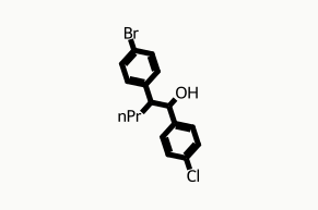 CCCC(c1ccc(Br)cc1)C(O)c1ccc(Cl)cc1